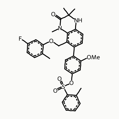 COc1cc(OS(=O)(=O)c2ccccc2C)ccc1-c1ccc2c(c1COc1cc(F)ccc1C)N(C)C(=O)C(C)(C)N2